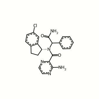 NC(=O)C(c1ccccc1)N(C(=O)c1nccnc1N)[C@@H]1CCc2ccc(Cl)cc21